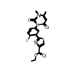 CCOC(=O)c1csc(-c2cc(-n3c(=O)cc(C)n(C)c3=O)ccc2Cl)n1